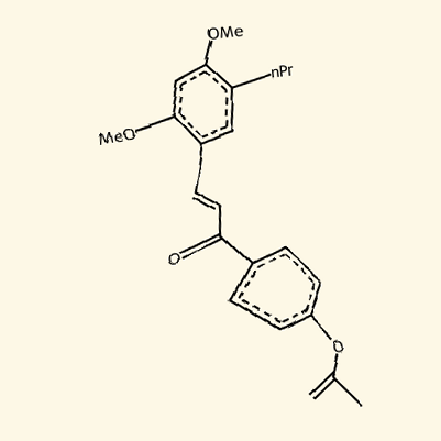 C=C(C)Oc1ccc(C(=O)/C=C/c2cc(CCC)c(OC)cc2OC)cc1